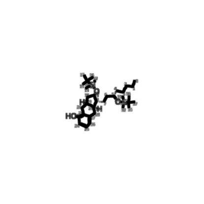 CCCCC[C@@H](CC[C@H]1C(O[Si](C)(C)C(C)(C)C)C[C@@H]2Cc3c(O)cccc3C[C@@H]21)O[Si](C)(C)C(C)(C)C